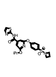 CC(C)Oc1cc(C(=O)Nc2nccs2)cc(Oc2ccc(S(=O)(=O)N3CCC3)cc2)n1